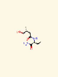 CCC(NC(=O)C[C@@H](C)CO)C(N)=O